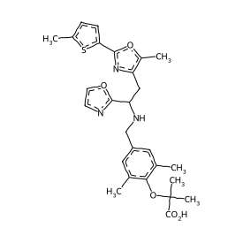 Cc1ccc(-c2nc(CC(NCc3cc(C)c(OC(C)(C)C(=O)O)c(C)c3)c3ncco3)c(C)o2)s1